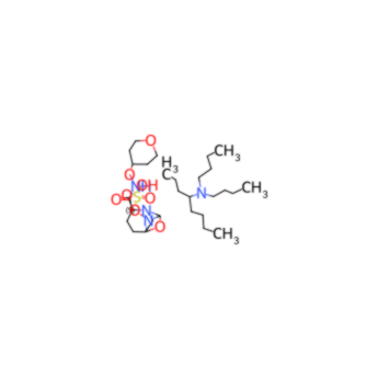 CCCCC(CCC)N(CCCC)CCCC.O=C(NOC1CCOCC1)[C@@H]1CCC23CN1C(O2)N3OS(=O)(=O)O